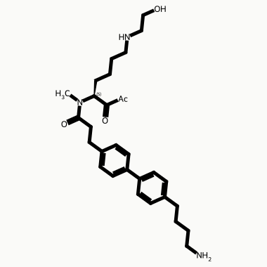 CC(=O)C(=O)[C@H](CCCCNCCO)N(C)C(=O)CCc1ccc(-c2ccc(CCCCN)cc2)cc1